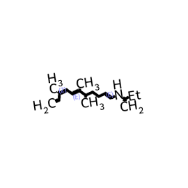 C=C/C(C)=C\C=C(/C)C(C)CC/C=C/NC(=C)CC